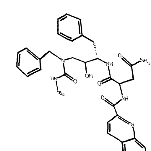 CC(C)(C)NC(=O)N(Cc1ccccc1)CC(O)[C@H](Cc1ccccc1)NC(=O)C(CC(N)=O)NC(=O)c1ccc2ccccc2n1